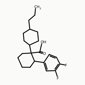 CCCC1CCC(C2(C(=O)O)CCCCC2c2ccc(F)c(F)c2)CC1